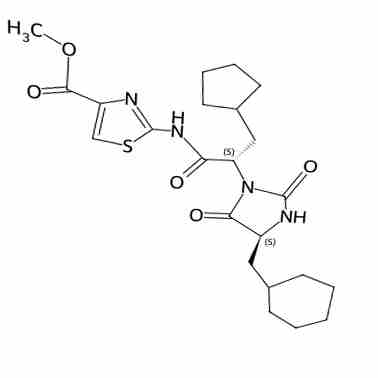 COC(=O)c1csc(NC(=O)[C@H](CC2CCCC2)N2C(=O)N[C@@H](CC3CCCCC3)C2=O)n1